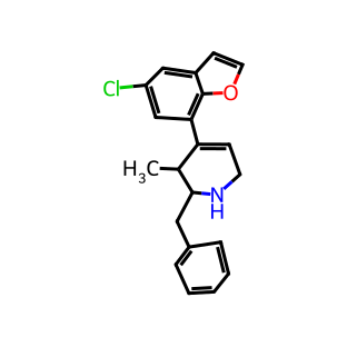 CC1C(c2cc(Cl)cc3ccoc23)=CCNC1Cc1ccccc1